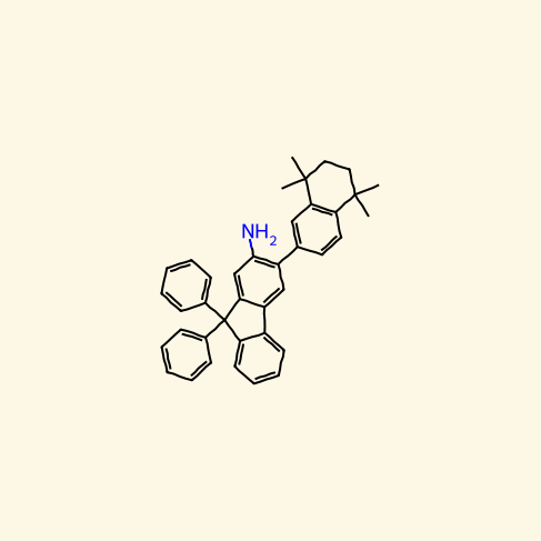 CC1(C)CCC(C)(C)c2cc(-c3cc4c(cc3N)C(c3ccccc3)(c3ccccc3)c3ccccc3-4)ccc21